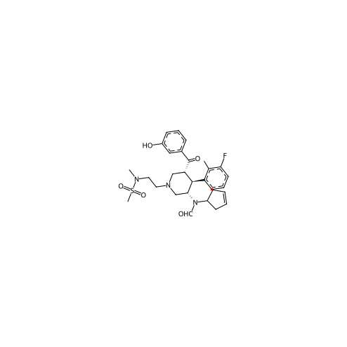 Cc1c(F)cccc1[C@@H]1[C@@H](C(=O)c2cccc(O)c2)CN(CCN(C)S(C)(=O)=O)C[C@H]1N(C=O)C1CC=CC1